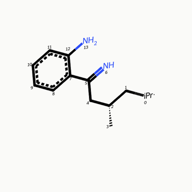 C[C](C)C[C@H](C)CC(=N)c1ccccc1N